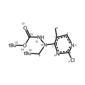 Cc1cnc(Cl)nc1N(CC(C)(C)C)NC(=O)OC(C)(C)C